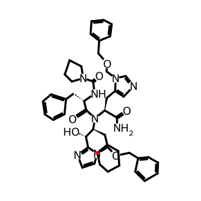 NC(=O)[C@H](Cc1cncn1COCc1ccccc1)N(C(=O)[C@H](Cc1ccccc1)NC(=O)N1CCCC1)[C@@H](CC1CCCCC1)[C@@H](O)c1nccn1COCc1ccccc1